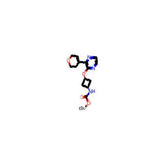 CC(C)(C)OC(=O)N[C@H]1C[C@@H](Oc2nccnc2C2=CCOCC2)C1